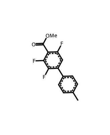 COC(=O)c1c(F)cc(-c2ccc(C)cc2)c(F)c1F